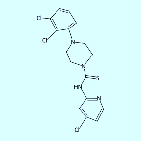 S=C(Nc1cc(Cl)ccn1)N1CCN(c2cccc(Cl)c2Cl)CC1